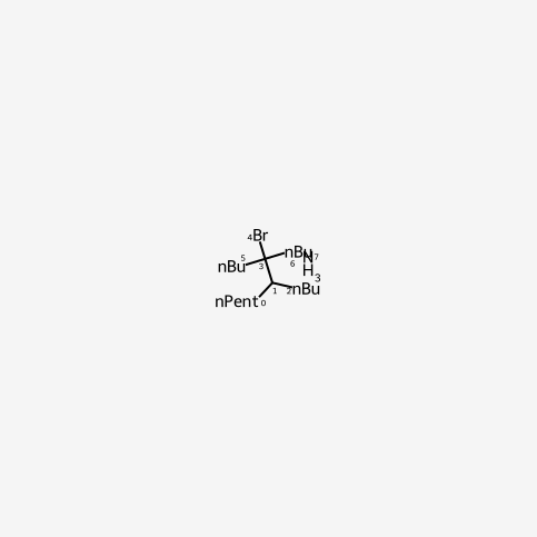 CCCCCC(CCCC)C(Br)(CCCC)CCCC.N